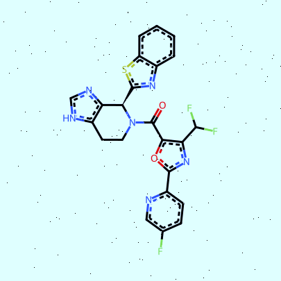 O=C(c1oc(-c2ccc(F)cn2)nc1C(F)F)N1CCc2[nH]cnc2[C@H]1c1nc2ccccc2s1